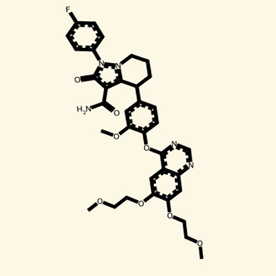 COCCOc1cc2ncnc(Oc3ccc(C4CCCn5c4c(C(N)=O)c(=O)n5-c4ccc(F)cc4)cc3OC)c2cc1OCCOC